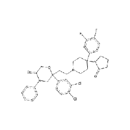 O=C1COC(CCN2CCC(c3ccc(F)c(F)c3)(N3CCCC3=O)CC2)(c2ccc(Cl)c(Cl)c2)CN1c1ccccc1